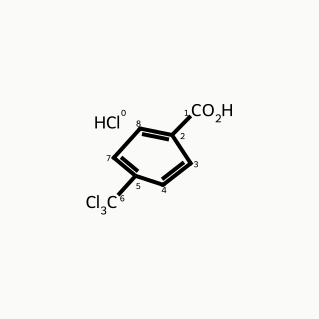 Cl.O=C(O)c1ccc(C(Cl)(Cl)Cl)cc1